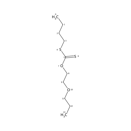 CCCCSC(=S)OCCOCCC